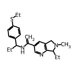 C=C(NC(CC)c1ccc(SCC)cc1)c1cnc2c(c1)CN(C)C2CC